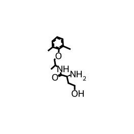 Cc1cccc(C)c1OCC(C)NC(=O)[C@@H](N)CCO